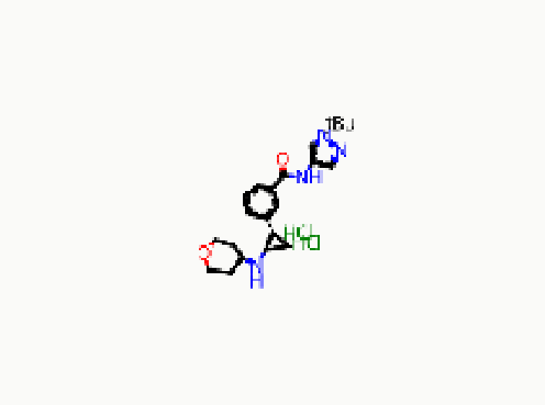 CC(C)(C)n1cc(NC(=O)c2cccc([C@@H]3C[C@H]3NC3CCOCC3)c2)cn1.Cl.Cl